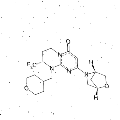 O=c1cc(N2C[C@@H]3C[C@H]2CO3)nc2n1CC[C@@H](C(F)(F)F)N2CC1CCOCC1